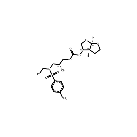 CC(C)CN(C[C@@H](O)CNC(=O)O[C@H]1CO[C@H]2OCC[C@H]21)S(=O)(=O)c1ccc(N)cc1